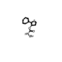 CC(C)(C)NC(=O)Oc1ccsc1-c1ccccc1